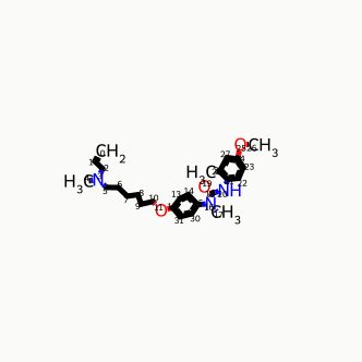 C=CCN(C)CCCCCCOc1ccc(N(C)C(=O)Nc2ccc(OC)cc2C)cc1